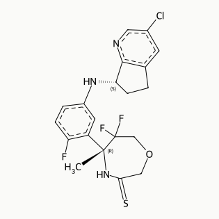 C[C@]1(c2cc(N[C@H]3CCc4cc(Cl)cnc43)ccc2F)NC(=S)COCC1(F)F